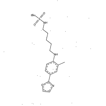 Cc1cc(-c2ncco2)ccc1NCCCCCNS(=O)(=O)C(C)(C)C